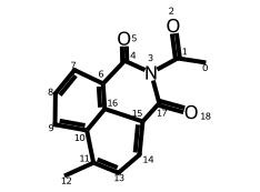 CC(=O)N1C(=O)c2cccc3c(C)ccc(c23)C1=O